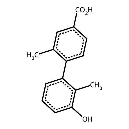 Cc1cc(C(=O)O)ccc1-c1cccc(O)c1C